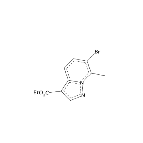 CCOC(=O)c1cnn2c(C)c(Br)ccc12